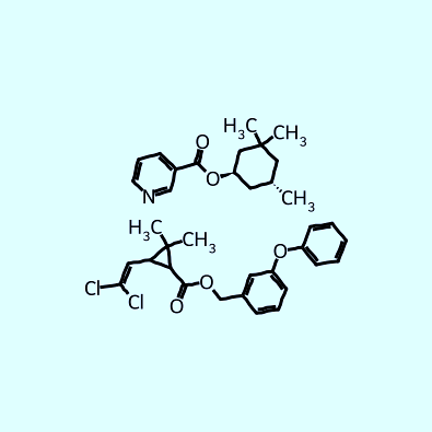 CC1(C)C(C=C(Cl)Cl)C1C(=O)OCc1cccc(Oc2ccccc2)c1.C[C@@H]1C[C@@H](OC(=O)c2cccnc2)CC(C)(C)C1